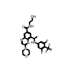 CC(Nc1cc(F)c(C(F)(F)F)c(F)c1)c1cc(C(=O)NCCO)cc2ncc(N3CCOCC3)nc12